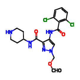 O=COCn1cc(NC(=O)c2c(Cl)cccc2Cl)c(C(=O)NC2CCNCC2)n1